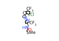 CSCC(=O)NCc1ccc(N2CCC(c3cc(Cl)cc(C(F)(F)F)c3)(C(F)(F)F)C2)nc1C(F)(F)F